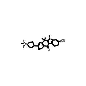 CC1(C)c2cc(C3CCN(S(C)(=O)=O)CC3)ccc2C(=O)c2c1[nH]c1c2CCC(C#N)=C1